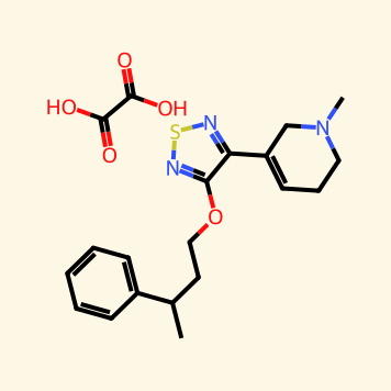 CC(CCOc1nsnc1C1=CCCN(C)C1)c1ccccc1.O=C(O)C(=O)O